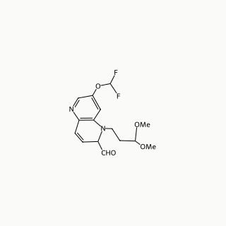 COC(CCN1c2cc(OC(F)F)cnc2C=CC1C=O)OC